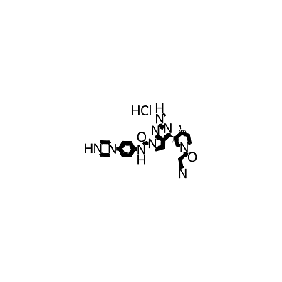 CNc1nc([C@H]2CN(C(=O)CC#N)CC[C@H]2C)c2ccn(C(=O)Nc3ccc(N4CCNCC4)cc3)c2n1.Cl